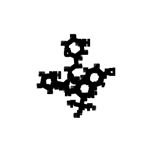 FC(F)(F)c1nc2cc(Cl)ccc2c2c1nc(-c1ccc[nH]1)n2CCC1CNCCO1